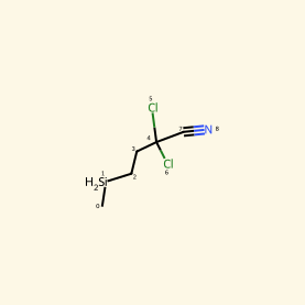 C[SiH2]CCC(Cl)(Cl)C#N